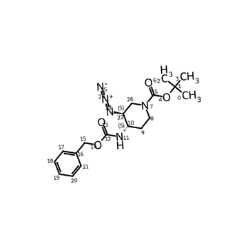 CC(C)(C)OC(=O)N1CC[C@H](NC(=O)OCc2ccccc2)[C@@H](N=[N+]=[N-])C1